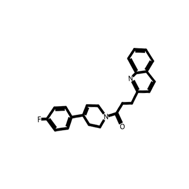 O=C(CCc1ccc2ccccc2n1)N1CC=C(c2ccc(F)cc2)CC1